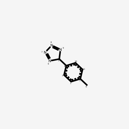 Cc1ccc(C2N=NN=N2)cc1